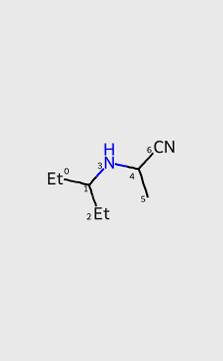 CCC(CC)NC(C)C#N